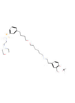 CC1(C)OCc2cc([C@@H](O)CNCCCCCCOCCCCc3cccc(S(=O)(=O)NCCN4CCOCC4)c3)ccc2O1